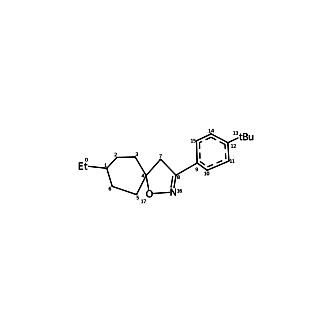 CCC1CCC2(CC1)CC(c1ccc(C(C)(C)C)cc1)=NO2